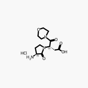 Cl.N[C@H]1CCN([C@@H](CC(=O)O)C(=O)N2CCOCC2)C1=O